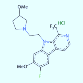 COc1cc2c(cc1F)c1ccnc(C(F)(F)F)c1n2CCN1CCC(OC)C1.Cl